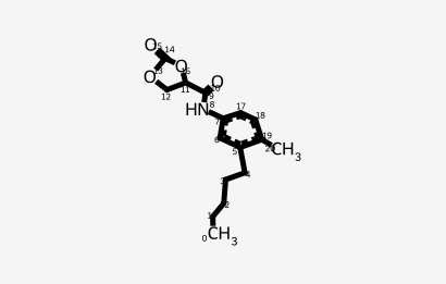 CCCCCc1cc(NC(=O)C2COC(=O)O2)ccc1C